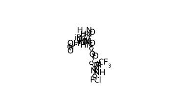 CC(C)[C@H](NC(=O)CCCCCN1C(=O)C=CC1O)C(=O)N[C@@H](CCCNC(N)=O)C(=O)Nc1ccc(COC(=O)/C=C/c2cccc(-c3cnc(Nc4ccc(F)c(Cl)c4)nc3-n3ccc(C(F)(F)F)n3)c2)cc1